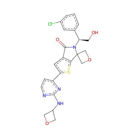 O=C1c2cc(-c3ccnc(NC4COC4)n3)sc2C2(COC2)N1[C@H](CO)c1cccc(Cl)c1